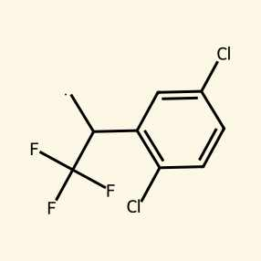 [CH2]C(c1cc(Cl)ccc1Cl)C(F)(F)F